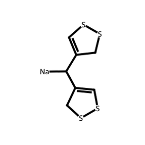 [Na][CH](C1=CSSC1)C1=CSSC1